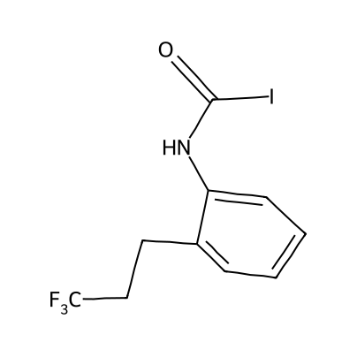 O=C(I)Nc1ccccc1CCC(F)(F)F